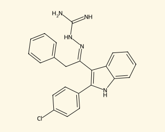 N=C(N)NN=C(Cc1ccccc1)c1c(-c2ccc(Cl)cc2)[nH]c2ccccc12